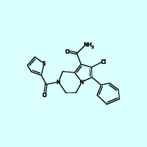 NC(=O)c1c(Cl)c(-c2ccccc2)n2c1CN(C(=O)c1cccs1)CC2